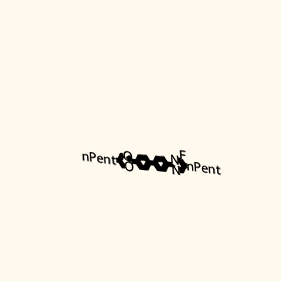 CCCCCc1cnc(-c2ccc(-c3ccc(C4OCC(CCCCC)CO4)cc3)cc2)nc1F